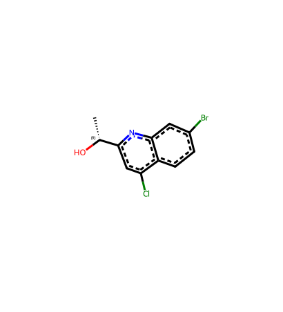 C[C@@H](O)c1cc(Cl)c2ccc(Br)cc2n1